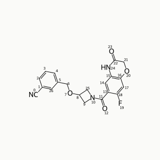 N#Cc1cccc(COC2CN(C(=O)c3cc4c(cc3F)OCC(=O)N4)C2)c1